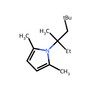 CCC(C)(CC(C)(C)C)n1c(C)ccc1C